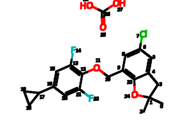 CC1(C)Cc2cc(Cl)cc(COc3c(F)cc(C4CC4)cc3F)c2O1.O=C(O)O